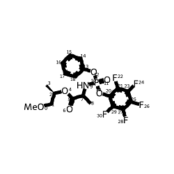 COC[C@@H](C)OC(=O)C(C)NP(=O)(Oc1ccccc1)Oc1c(F)c(F)c(F)c(F)c1F